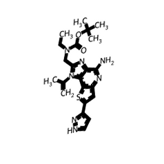 C=C(C)n1c(CN(CC)C(=O)OC(C)(C)C)nc2c(N)nc3cc(-c4cc[nH]n4)sc3c21